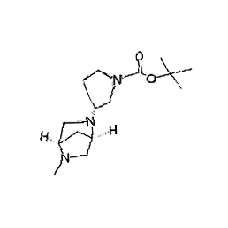 CN1C[C@H]2C[C@@H]1CN2[C@@H]1CCN(C(=O)OC(C)(C)C)C1